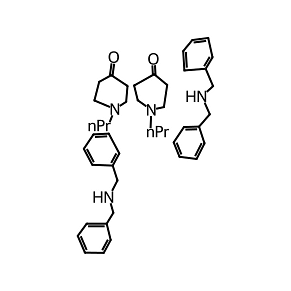 CCCN1CCC(=O)CC1.CCCN1CCC(=O)CC1.c1ccc(CNCc2ccccc2)cc1.c1ccc(CNCc2ccccc2)cc1